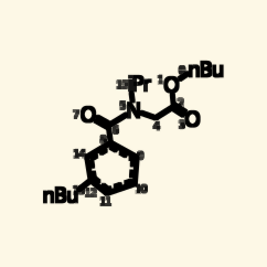 CCCCOC(=O)CN(C(=O)c1cccc(CCCC)c1)C(C)C